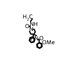 C=CCNC(=O)N1CCC(CNC(=O)c2ccccc2OC)(c2ccccc2)CC1